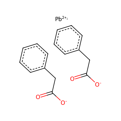 O=C([O-])Cc1ccccc1.O=C([O-])Cc1ccccc1.[Pb+2]